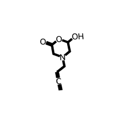 C=C=CCN1CC(=O)OC(O)C1